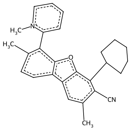 Cc1cc2c(oc3c(-c4cccc[n+]4C)c(C)ccc32)c(C2CCCCC2)c1C#N